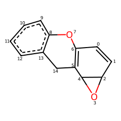 C1=CC2OC2C2=C1Oc1ccccc1C2